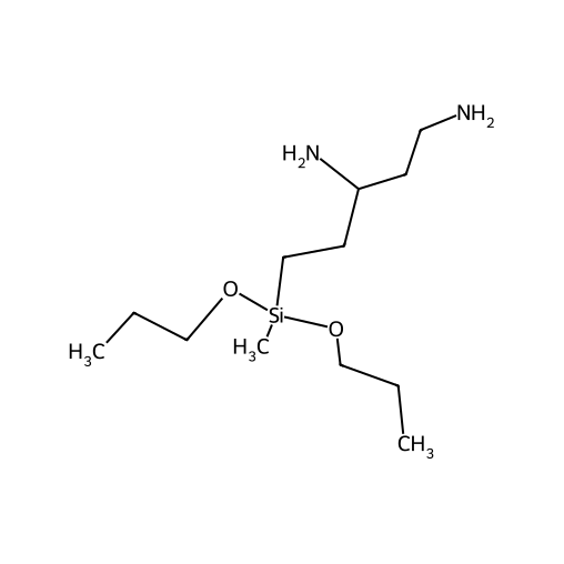 CCCO[Si](C)(CCC(N)CCN)OCCC